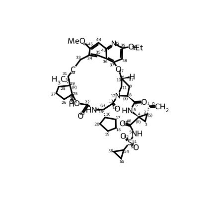 C=C[C@@H]1C[C@]1(NC(=O)[C@@H]1C[C@@H]2CN1C(=O)[C@H](C1CCCC1)NC(=O)O[C@@H]1CCC[C@@]1(C)CCCc1cc3c(cc(OCC)nc3cc1OC)O2)C(=O)NS(=O)(=O)C1CC1